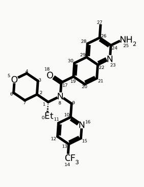 CC[C@H](C1CCOCC1)N(Cc1ccc(C(F)(F)F)cn1)C(=O)c1ccc2nc(N)c(C)cc2c1